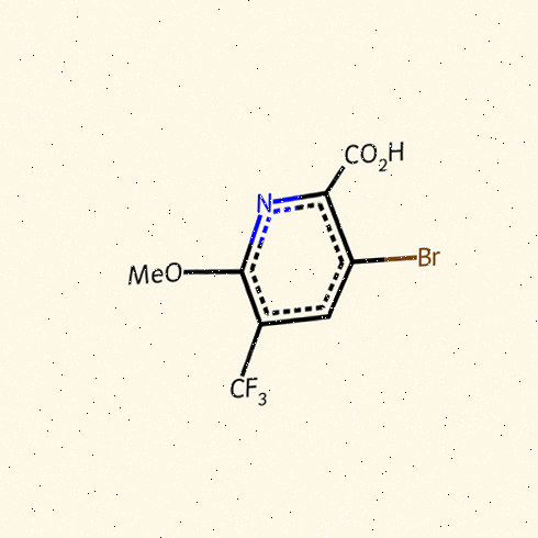 COc1nc(C(=O)O)c(Br)cc1C(F)(F)F